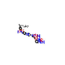 CC(=O)Nc1ccc(S(=O)(=O)Nc2ccc(N3CCC(NCC(O)COc4cccc5[nH]c(=O)[nH]c45)CC3)cc2)cc1